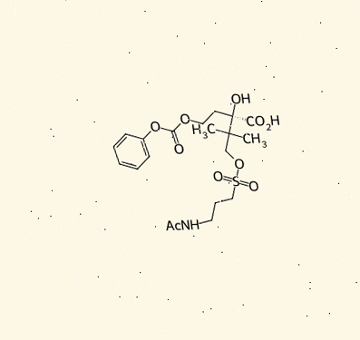 CC(=O)NCCCS(=O)(=O)OCC(C)(C)[C@](O)(CCOC(=O)Oc1ccccc1)C(=O)O